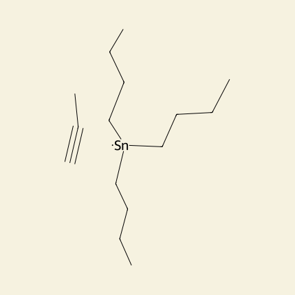 C#CC.CCC[CH2][Sn]([CH2]CCC)[CH2]CCC